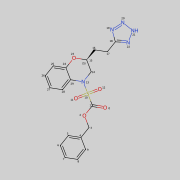 O=C(OCc1ccccc1)S(=O)(=O)N1C[C@H](CCc2nn[nH]n2)Oc2ccccc21